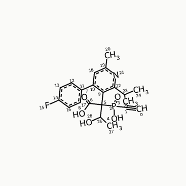 C#CP(=O)(O)C(C(=O)O)(c1c(-c2ccc(F)cc2)cc(C)nc1C(C)C)C(C)O